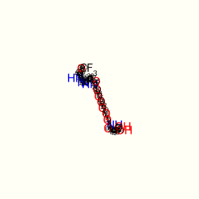 O=C(NCCOCCOCCOCCOCCOCCOCCNC(=O)c1cccc(-c2cc(Nc3ccc(OC(F)(F)F)cc3)ncn2)c1)c1cccc(B(O)O)c1